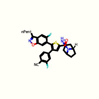 CCCCCc1noc2cc(-c3sc(C(=O)N4C5CC[C@H]4CC(N)C5)cc3-c3ccc(C#N)c(F)c3)c(F)cc12